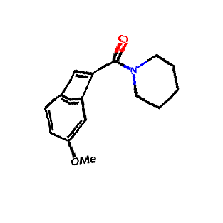 COc1ccc2c(c1)C(C(=O)N1CCCCC1)=C2